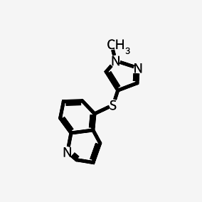 Cn1cc(Sc2cccc3ncccc23)cn1